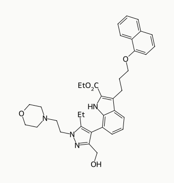 CCOC(=O)c1[nH]c2c(-c3c(CO)nn(CCN4CCOCC4)c3CC)cccc2c1CCCOc1cccc2ccccc12